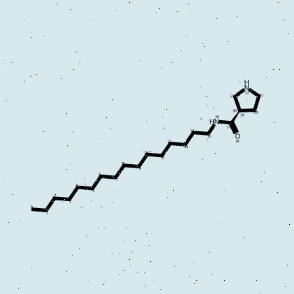 CCCCCCCCCCCCCCCCNC(=O)[C@@H]1CCNC1